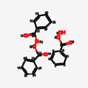 O=C(OO)c1ccccc1.O=C(OOC(=O)c1ccccc1)c1ccccc1